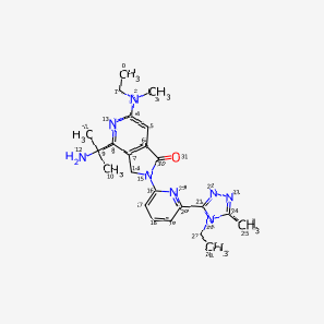 CCN(C)c1cc2c(c(C(C)(C)N)n1)CN(c1cccc(-c3nnc(C)n3CC)n1)C2=O